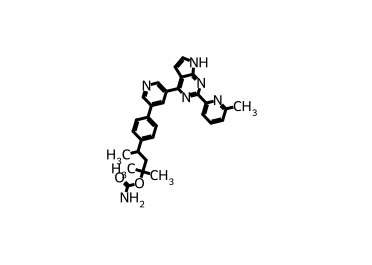 Cc1cccc(-c2nc(-c3cncc(-c4ccc(C(C)CC(C)(C)OC(N)=O)cc4)c3)c3cc[nH]c3n2)n1